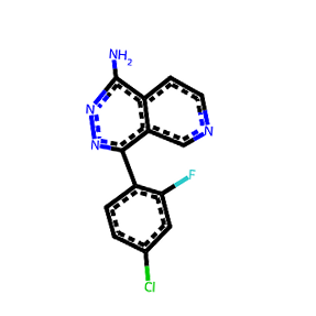 Nc1nnc(-c2ccc(Cl)cc2F)c2cnccc12